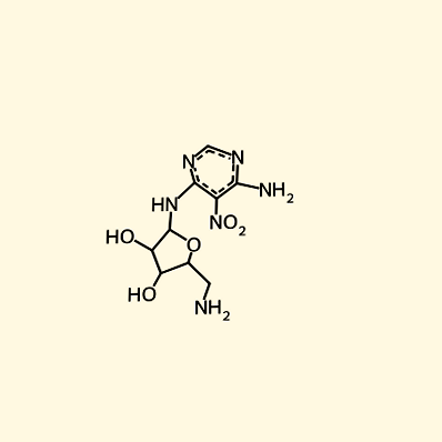 NCC1OC(Nc2ncnc(N)c2[N+](=O)[O-])C(O)C1O